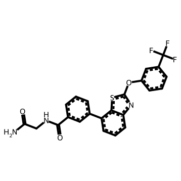 NC(=O)CNC(=O)c1cccc(-c2cccc3nc(Oc4cccc(C(F)(F)F)c4)sc23)c1